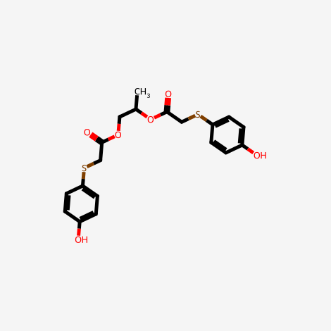 CC(COC(=O)CSc1ccc(O)cc1)OC(=O)CSc1ccc(O)cc1